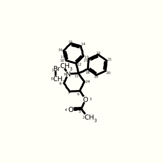 CBr.CC(=O)OC1CCN(C)C(c2ccccc2)(c2ccccc2)C1